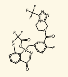 O=C1C=N[N+](Cc2ccc(F)c(C(=O)N3CCn4c(nnc4C(F)(F)F)C3)c2)(OC(=O)C(F)(F)F)c2c(F)cccc21